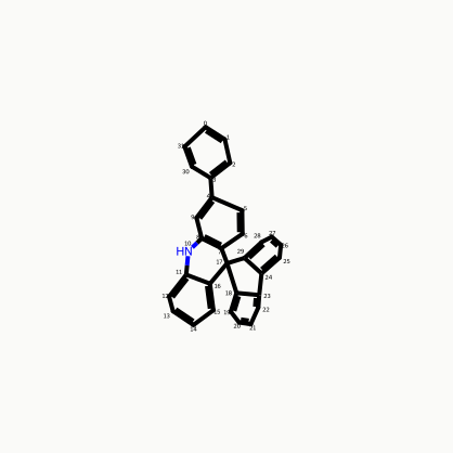 c1ccc(-c2ccc3c(c2)Nc2ccccc2C32c3ccccc3-c3ccccc32)cc1